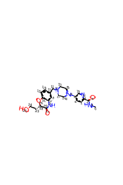 CNC(=O)c1ccc(N2CCN(Cc3ccc4c(c3)NC(=O)[C@H](CCO)O4)CC2)cn1